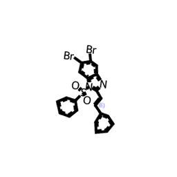 O=S(=O)(c1ccccc1)n1c(/C=C/c2ccccc2)nc2cc(Br)c(Br)cc21